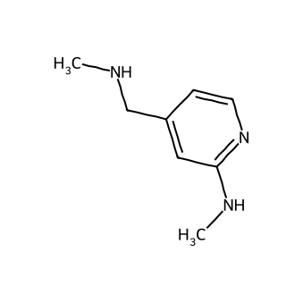 CNCc1ccnc(NC)c1